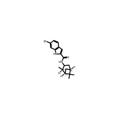 C[C@@H]1C(NC(=O)c2cc3ccc(Br)cc3[nH]2)C[C@H]2C[C@@H]1C2(C)C